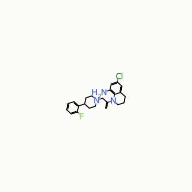 C=C(CN1CCC(c2ccccc2F)CC1)N1CCCc2cc(Cl)cc(N)c21